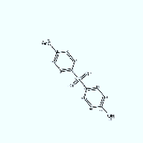 CC(=O)Oc1ccc(S(=O)(=O)c2ccc(O)cc2)cc1